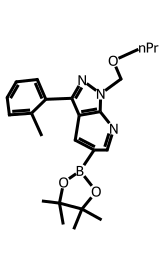 CCCOCn1nc(-c2ccccc2C)c2cc(B3OC(C)(C)C(C)(C)O3)cnc21